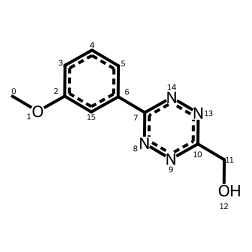 COc1cccc(-c2nnc(CO)nn2)c1